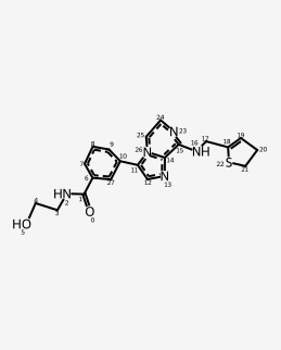 O=C(NCCO)c1cccc(-c2cnc3c(NCC4=CCCS4)nccn23)c1